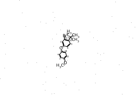 COc1ccc(Oc2ccc(C(C)(C)C)c(Br)c2)cc1